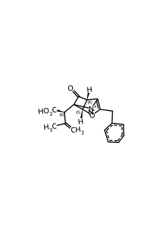 C=C(C)[C@@H](C(=O)O)C12C(=O)[C@@H]3C(=C(Cc4ccccc4)O[C@@H]31)[N+]2=[N-]